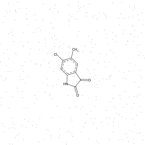 Cc1cc2c(cc1Cl)NC(=O)C2=O